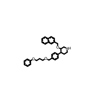 c1ccc(OCCCOCc2ccc(C3CCNCC3OCc3ccc4ccccc4c3)cc2)cc1